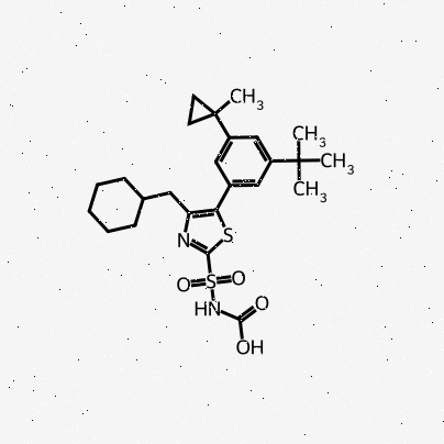 CC(C)(C)c1cc(-c2sc(S(=O)(=O)NC(=O)O)nc2CC2CCCCC2)cc(C2(C)CC2)c1